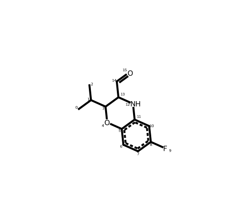 CC(C)C1Oc2ccc(F)cc2NC1C=O